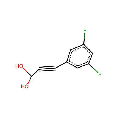 OC(O)C#Cc1cc(F)cc(F)c1